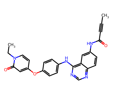 CC#CC(=O)Nc1ccc2ncnc(Nc3ccc(Oc4ccn(CC)c(=O)c4)cc3)c2c1